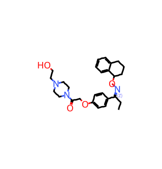 CC/C(=N/OC1CCCc2ccccc21)c1ccc(OCC(=O)N2CCN(CCO)CC2)cc1